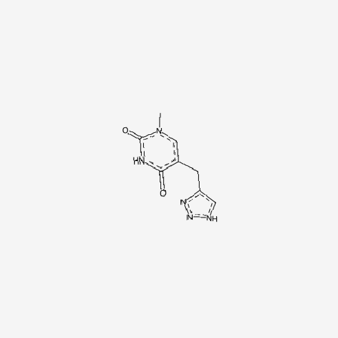 Cn1cc(Cc2c[nH]nn2)c(=O)[nH]c1=O